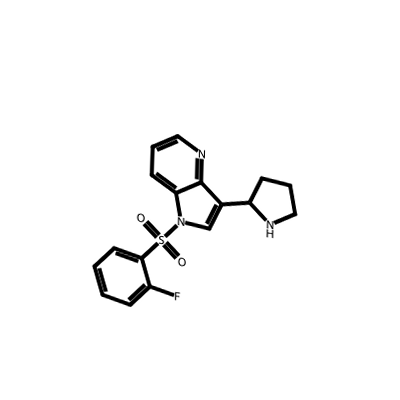 O=S(=O)(c1ccccc1F)n1cc(C2CCCN2)c2ncccc21